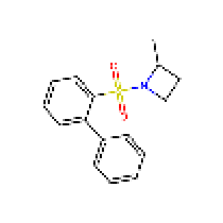 CC1CCN1S(=O)(=O)c1ccccc1-c1ccccc1